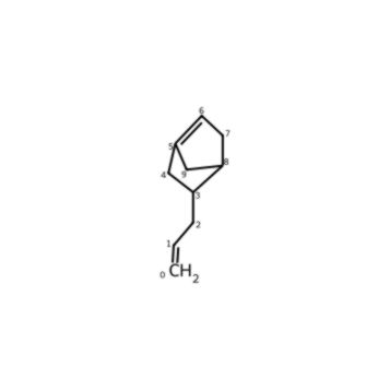 C=CCC1CC2=CCC1C2